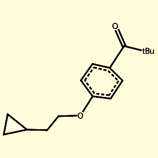 CC(C)(C)C(=O)c1ccc(OCCC2CC2)cc1